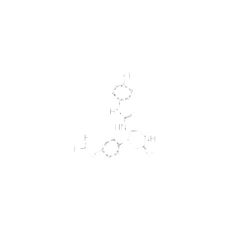 O=C1C[C@@H](c2ccc(OC(F)F)cc2)[C@H](NC(=O)Nc2ccc(Cl)cc2)CN1